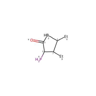 CCC1BC(=O)C(P)C1CC